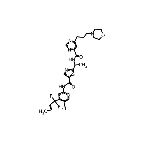 C/C=C/C(F)(F)c1cc(NC(=O)c2cnc(C(C)NC(=O)c3cc(CCCN4CCOCC4)ncn3)s2)ncc1Cl